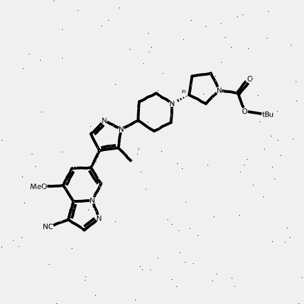 COc1cc(-c2cnn(C3CCN([C@@H]4CCN(C(=O)OC(C)(C)C)C4)CC3)c2C)cn2ncc(C#N)c12